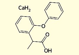 CC(C(=O)O)c1ccccc1Oc1ccccc1.[CaH2]